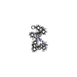 CC1(C)C(/C=C/C=C/C=C2\N(CC(=O)N3c4ccccc4Sc4ccc(Cl)cc43)c3ccccc3C2(C)C)=[N+](CC(=O)N2c3ccccc3Sc3ccc(Cl)cc32)c2ccccc21